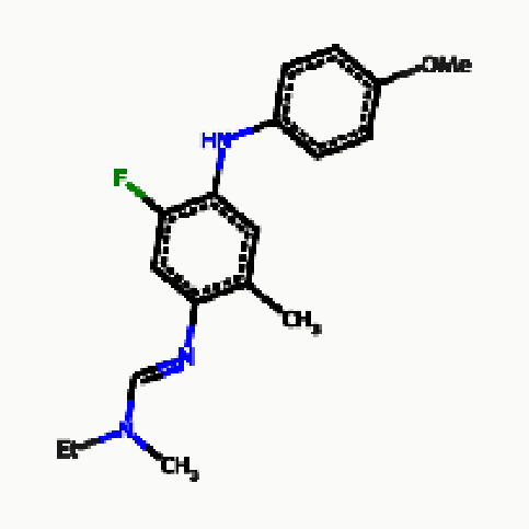 CCN(C)/C=N/c1cc(F)c(Nc2ccc(OC)cc2)cc1C